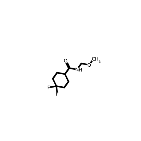 COCNC(=O)C1CCC(F)(F)CC1